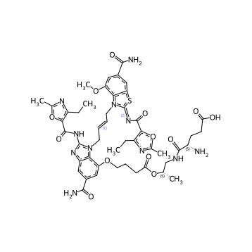 CCc1nc(C)oc1C(=O)/N=c1\sc2cc(C(N)=O)cc(OC)c2n1C/C=C/Cn1c(NC(=O)c2oc(C)nc2CC)nc2cc(C(N)=O)cc(OCCCC(=O)O[C@@H](C)CNC(=O)[C@@H](N)CCC(=O)O)c21